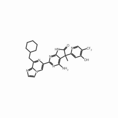 CC1(c2cc(O)c(C(F)(F)F)cn2)C(=O)Nc2nc(-c3cn4ccnc4c(CC4CCCCC4)n3)nc(N)c21